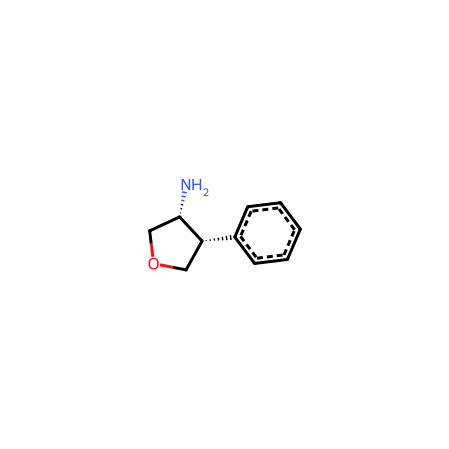 N[C@H]1COC[C@H]1c1ccccc1